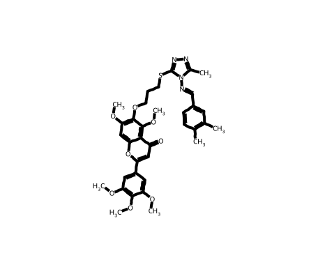 COc1cc(-c2cc(=O)c3c(OC)c(OCCCSc4nnc(C)n4N=Cc4ccc(C)c(C)c4)c(OC)cc3o2)cc(OC)c1OC